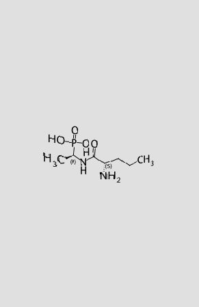 CCC[C@H](N)C(=O)N[C@@H](C)P(=O)(O)O